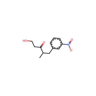 CC(Cc1cccc([N+](=O)[O-])c1)C(=O)CCO